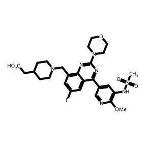 COc1ncc(-c2nc(N3CCOCC3)nc3c(CN4CCC(CC(=O)O)CC4)cc(F)cc23)cc1NS(C)(=O)=O